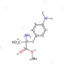 CN(C)c1ccc(CC(N)(C(=O)O)C(=O)OC(C)(C)C)cc1